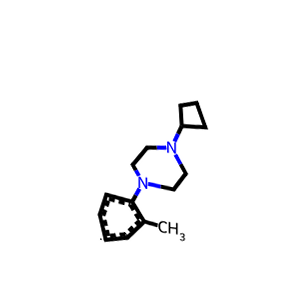 Cc1c[c]ccc1N1CCN(C2CCC2)CC1